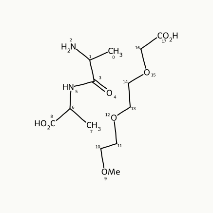 CC(N)C(=O)NC(C)C(=O)O.COCCOCCOCC(=O)O